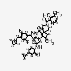 Cc1ncnc(C(=O)N2CCC3(CC2)CC(C)c2c3c(=O)n3nc(-c4cc(F)c(CN5CCC5)cc4F)nc3n2CC(=O)Nc2ccc(C3CC3)cc2Cl)c1O